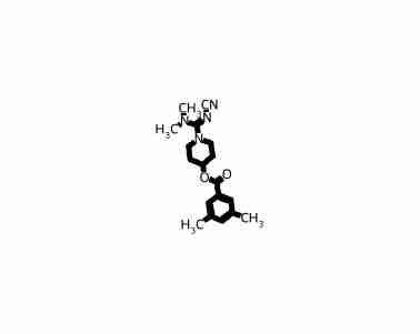 Cc1cc(C)cc(C(=O)OC2CCN(C(=NC#N)N(C)C)CC2)c1